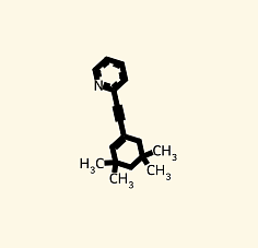 CC1(C)C=C(C#Cc2ccccn2)CC(C)(C)C1